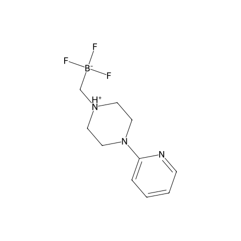 F[B-](F)(F)C[NH+]1CCN(c2ccccn2)CC1